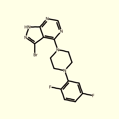 Fc1ccc(F)c(N2CCN(c3ncnc4[nH]nc(Br)c34)CC2)c1